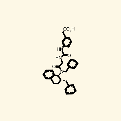 O=C(O)Cc1cccc(NC(=O)NCC(=O)N(Cc2ccccc2)[C@@H]2c3ccccc3CC[C@H]2Cc2ccccc2)c1